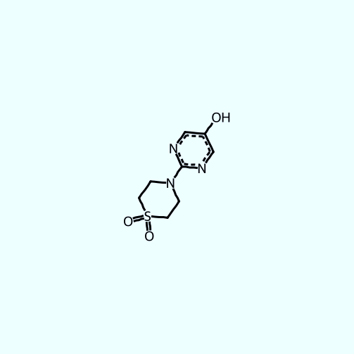 O=S1(=O)CCN(c2ncc(O)cn2)CC1